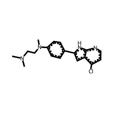 CN(C)CCN(C)c1ccc(-c2cc3c(Cl)ccnc3[nH]2)cc1